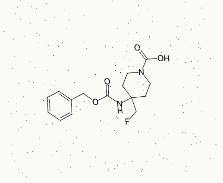 O=C(NC1(CF)CCN(C(=O)O)CC1)OCc1ccccc1